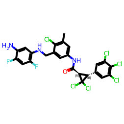 Cc1cc(NC(=O)[C@H]2[C@H](c3cc(Cl)c(Cl)c(Cl)c3)C2(Cl)Cl)cc(CNc2cc(N)c(F)cc2F)c1Cl